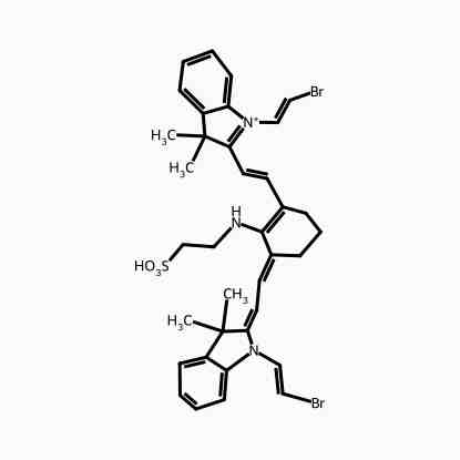 CC1(C)C(/C=C/C2=C(NCCS(=O)(=O)O)C(=C/C=C3/N(/C=C/Br)c4ccccc4C3(C)C)/CCC2)=[N+](/C=C/Br)c2ccccc21